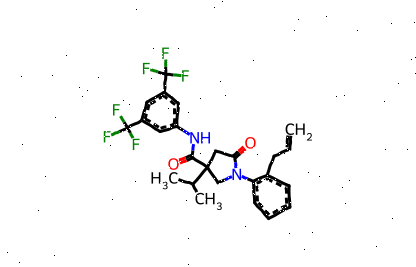 C=CCc1ccccc1N1CC(C(=O)Nc2cc(C(F)(F)F)cc(C(F)(F)F)c2)(C(C)C)CC1=O